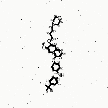 COc1cc2c(Oc3ccc(Nc4ccc(C(C)(C)C)cc4)cc3)ccnc2cc1OCCCCN1CCOCC1